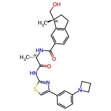 C[C@H](NC(=O)c1ccc2c(c1)[C@](C)(CO)CC2)C(=O)Nc1nc(-c2cccc(N3CCC3)c2)cs1